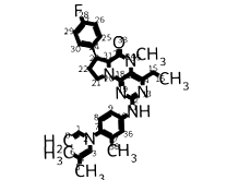 C=CN(C=C(C)C)c1ccc(Nc2nc(CC)c3c(n2)N2CC[C@@H](c4ccc(F)cc4)C2C(=O)N3C)cc1C